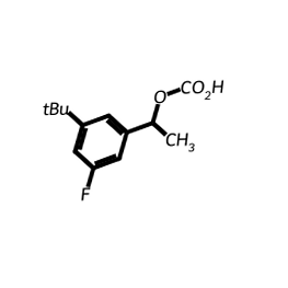 CC(OC(=O)O)c1cc(F)cc(C(C)(C)C)c1